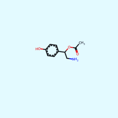 CC(=O)OC(CN)c1ccc(O)cc1